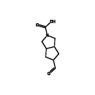 O=CC1CC2CN(C(=O)O)CC2C1